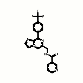 O=C(NCc1cn2ccnc2c(-c2ccc(C(F)(F)F)cc2)n1)c1cccnc1